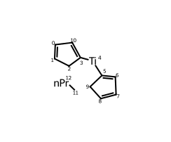 C1=CC[C]([Ti][C]2=CC=CC2)=C1.CCCC